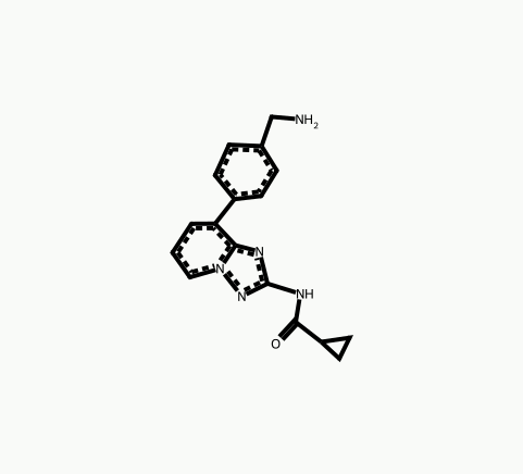 NCc1ccc(-c2cccn3nc(NC(=O)C4CC4)nc23)cc1